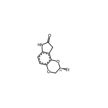 CC[C@H]1COc2ccc3c(c2O1)CC(=O)N3